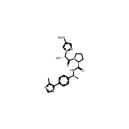 CCC[C@@H](C(=O)N1CCC[C@H]1C(=O)N[C@@H](C)c1ccc(-c2scnc2C)cc1)n1cc(OC)cn1